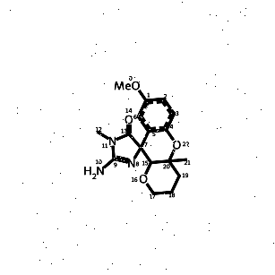 COc1ccc2c(c1)C1(N=C(N)N(C)C1=O)C1OCCCC1(C)O2